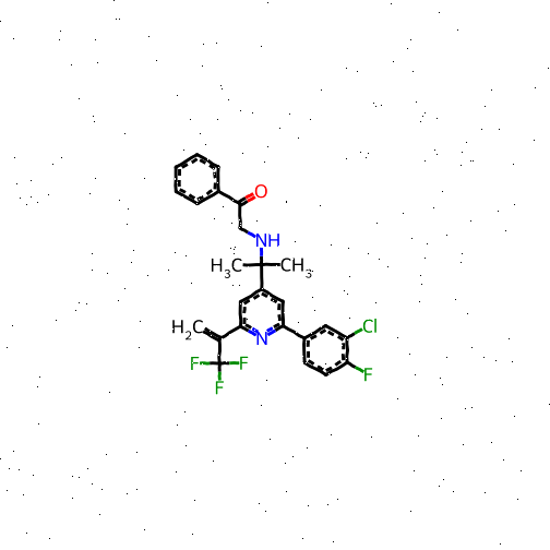 C=C(c1cc(C(C)(C)NCC(=O)c2ccccc2)cc(-c2ccc(F)c(Cl)c2)n1)C(F)(F)F